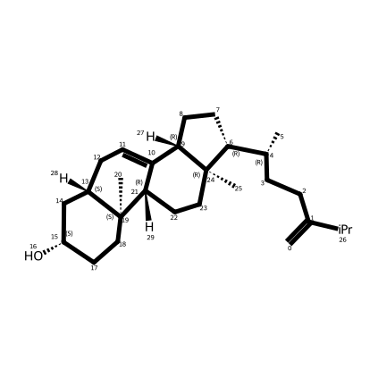 C=C(CC[C@@H](C)[C@H]1CC[C@H]2C3=CC[C@H]4C[C@@H](O)CC[C@]4(C)[C@H]3CC[C@]12C)C(C)C